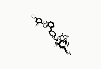 CO[C@H](C)Cn1c(CN2CCC(c3cccc4c3O[C@@](C)(c3ccc(Cl)cc3F)O4)CC2)nc2cc(C#N)nnc21